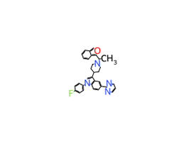 CC(c1occ2ccccc12)N1CCC(c2cn(-c3ccc(F)cc3)c3ccc(-c4ncccn4)cc23)CC1